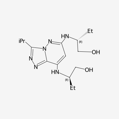 CC[C@H](CO)Nc1cc(N[C@H](CC)CO)c2nnc(C(C)C)n2n1